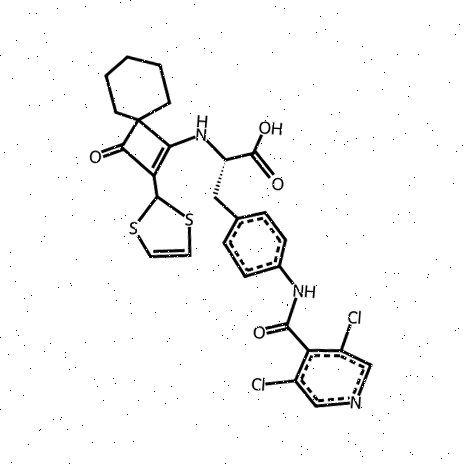 O=C(Nc1ccc(C[C@H](NC2=C(C3SC=CS3)C(=O)C23CCCCC3)C(=O)O)cc1)c1c(Cl)cncc1Cl